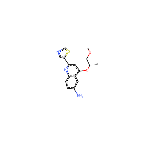 COC[C@H](C)Oc1cc(-c2cncs2)nc2ccc(N)cc12